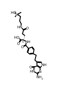 C[Si](C)(O)CCCNC(=O)CC[C@H](NC(=O)c1ccc(CCc2c[nH]c3nc(N)[nH]c(=O)c23)cc1)C(=O)O